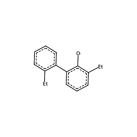 CCc1ccccc1-c1cccc(CC)c1[O]